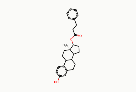 C[C@@]12CCC3c4ccc(O)cc4CCC3C1CCC2OC(=O)CCc1ccccc1